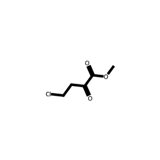 COC(=O)C(=O)CCCl